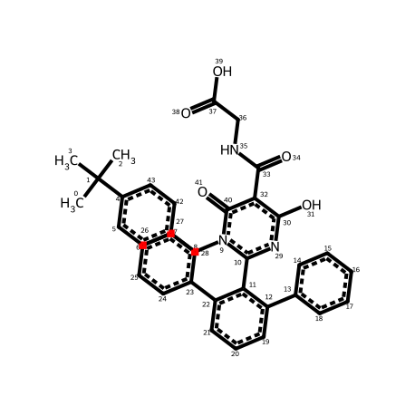 CC(C)(C)c1ccc(Cn2c(-c3c(-c4ccccc4)cccc3-c3ccccc3)nc(O)c(C(=O)NCC(=O)O)c2=O)cc1